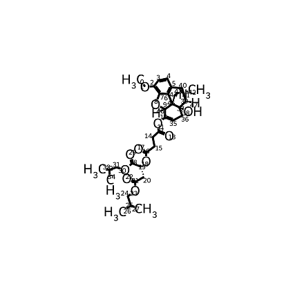 COc1ccc2c3c1O[C@H]1C(OC(=O)CCC(=O)O[C@H](CC(=O)OCC(C)C)C(=O)OCC(C)C)=CC[C@@]4(O)[C@@H](C2)N(C)CC[C@]314